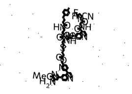 COc1ncc(-c2ccc3nccc(-c4ccc(COC(=O)CCCSSCC(NC(=O)COc5ccc6nccc(C(=O)NCC(=O)N7CC(F)(F)C[C@H]7C#N)c6c5)C(=O)NCCNC(=O)CCCc5ccc(C)cc5)nc4)c3c2)cc1N